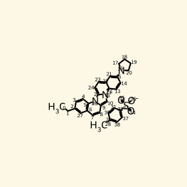 CCc1ccc2c(ccc3c[n+]4c5ccc(N6CCCC6)cc5ccc4n32)c1.Cc1ccc(S(=O)(=O)[O-])cc1